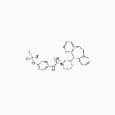 C=C(Nc1ccc(OC(F)(F)F)cc1)N1CCCC(C2c3ccccc3CCc3ccccc32)C1